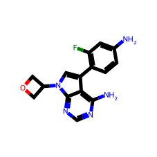 Nc1ccc(-c2cn(C3COC3)c3ncnc(N)c23)c(F)c1